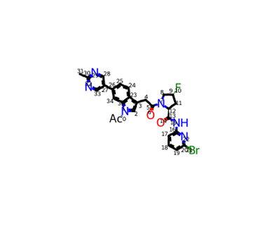 CC(=O)n1cc(CC(=O)N2C[C@H](F)C[C@H]2C(=O)Nc2cccc(Br)n2)c2ccc(-c3cnc(C)nc3)cc21